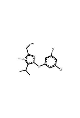 CC(C)c1c(Sc2cc(Cl)cc(Cl)c2)nc(CO)n1C